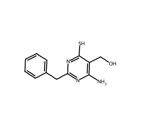 Nc1nc(Cc2ccccc2)nc(S)c1CO